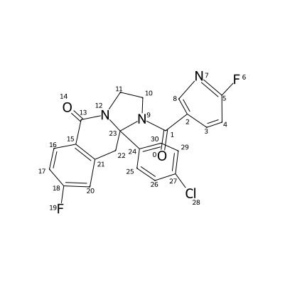 O=C(c1ccc(F)nc1)N1CCN2C(=O)c3ccc(F)cc3CC12c1ccc(Cl)cc1